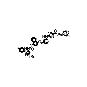 Cc1ccc(-n2nc(C(C)(C)C)cc2NC(=O)Nc2ccc(OCc3ccnc(Nc4cnc(C(=O)NCCN5C[C@@H](C)O[C@@H](C)C5)cn4)c3)c3ccccc23)cc1